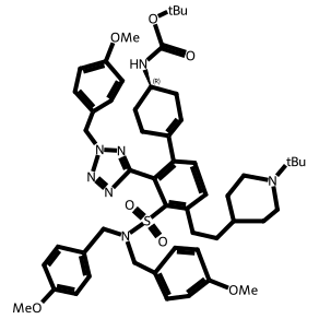 COc1ccc(CN(Cc2ccc(OC)cc2)S(=O)(=O)c2c(CCC3CCN(C(C)(C)C)CC3)ccc(C3=CC[C@H](NC(=O)OC(C)(C)C)CC3)c2-c2nnn(Cc3ccc(OC)cc3)n2)cc1